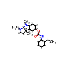 CCc1ccccc1NC(=O)Oc1ccc2c(c1)[C@]1(C)CCN(C)C1N2C